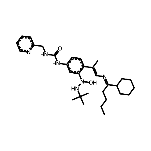 CCCC/C(=N\C=C(/C)c1ccc(NC(=O)NCc2ccccn2)cc1N(O)NC(C)(C)C)C1CCCCC1